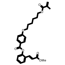 C=C(C)C(=O)OCCCCCCOc1ccc(C(=O)Oc2ccccc2C=CC(=O)OC)cc1